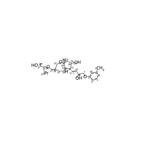 Cc1cccc(OC[C@H](O)/C=C/[C@@H]2[C@H]3CC[C@@H](COC(C(=O)O)C(C)C)CO[C@H]3C[C@H]2O)c1